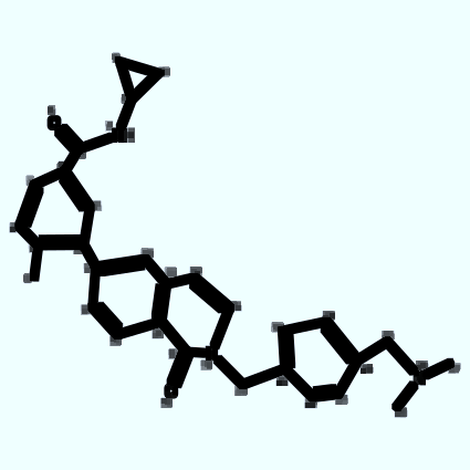 Cc1ccc(C(=O)NC2CC2)cc1-c1ccc2c(=O)n(Cc3ccc(CN(C)C)cc3)ccc2c1